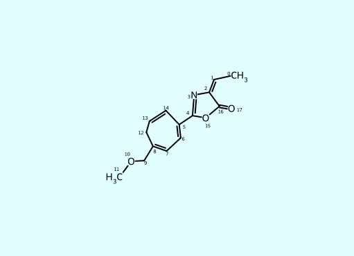 C/C=C1/N=C(C2=CC=C(COC)CC=C2)OC1=O